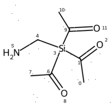 CC(=O)[Si](CN)(C(C)=O)C(C)=O